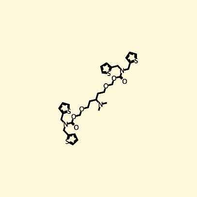 CN(C)C(CCOCOC(=O)N(Cc1cccs1)Cc1cccs1)CCOCOC(=O)N(Cc1cccs1)Cc1cccs1